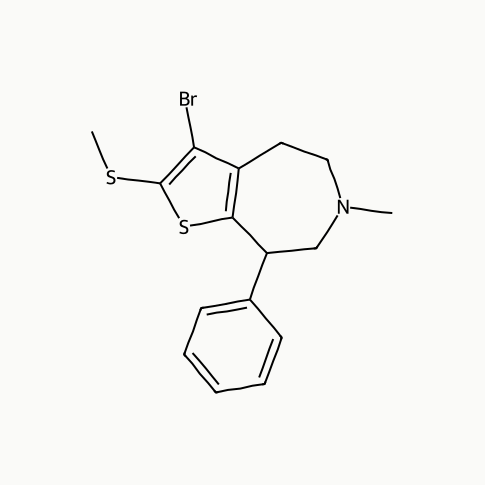 CSc1sc2c(c1Br)CCN(C)CC2c1ccccc1